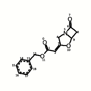 O=C(C=C1CN2C(=O)CC2O1)OCc1ccccc1